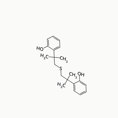 CC(C)(CSCC(C)(C)c1ccccc1O)c1ccccc1O